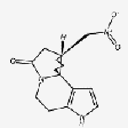 O=C1C[C@H]2[C@H](C[N+](=O)[O-])CC[C@]23c2cc[nH]c2CCN13